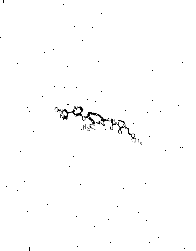 COCCN1CCN(C(=O)Nc2ccc(Oc3ccnc(-c4cnn(Cl)c4)c3)c(C)n2)C1=O